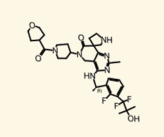 Cc1nc(N[C@H](C)c2cccc(C(F)(F)C(C)(C)O)c2F)c2c(n1)C1(CCNC1)C(=O)N(C1CCN(C(=O)C3CCOCC3)CC1)C2